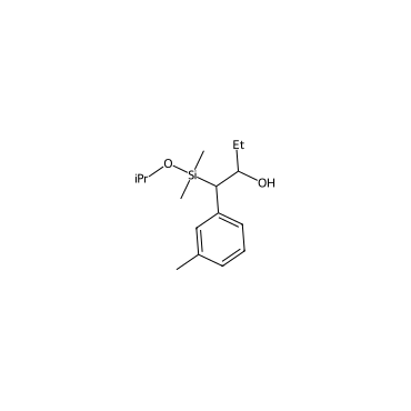 CCC(O)C(c1cccc(C)c1)[Si](C)(C)OC(C)C